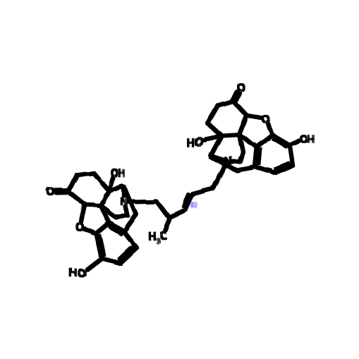 CC(/C=C/CN1CCC23c4c5ccc(O)c4OC2C(=O)CCC3(O)C1C5)CN1CCC23c4c5ccc(O)c4OC2C(=O)CCC3(O)C1C5